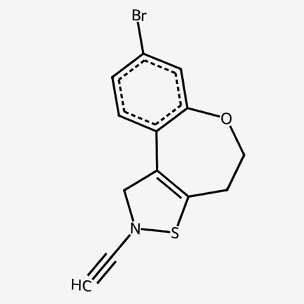 C#CN1CC2=C(CCOc3cc(Br)ccc32)S1